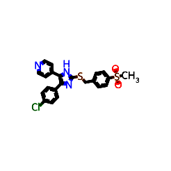 CS(=O)(=O)c1ccc(CSc2nc(-c3ccc(Cl)cc3)c(-c3ccncc3)[nH]2)cc1